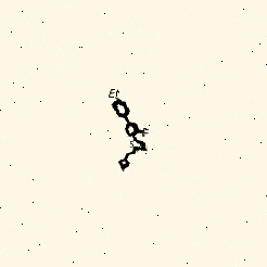 CCc1ccc(-c2ccc(-c3ccc(CCC4CCC4)s3)c(F)c2)cc1